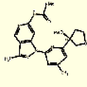 CNC(=O)Nc1cc2c(cn1)c(C)nn2-c1cc(C)cc([C@]2(OC)CCOC2)n1